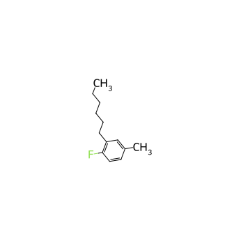 CCCCCCc1cc(C)ccc1F